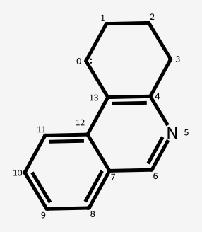 [C]1CCCc2ncc3ccccc3c21